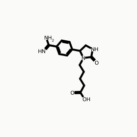 N=C(N)c1ccc(C2CNC(=O)N2CCCCC(=O)O)cc1